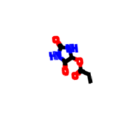 CCC(=O)OC1NC(=O)NC1=O